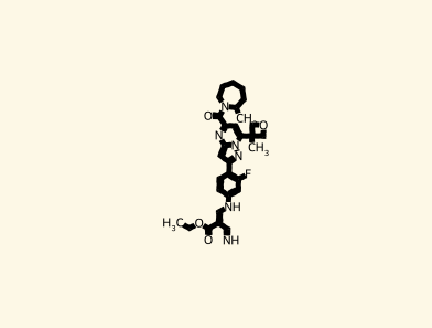 CCOC(=O)/C(C=N)=C/Nc1ccc(-c2cc3nc(C(=O)N4CCCCCC4C)cc(C4(C)COC4)n3n2)c(F)c1